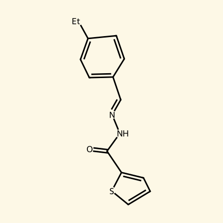 CCc1ccc(/C=N/NC(=O)c2cccs2)cc1